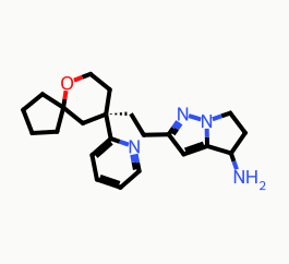 NC1CCn2nc(CC[C@@]3(c4ccccn4)CCOC4(CCCC4)C3)cc21